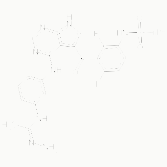 CCCS(=O)(=O)Nc1ccc(F)c(C(=O)c2c[nH]c3ncnc(Nc4cccc(N/C(C)=N\N)c4)c23)c1F